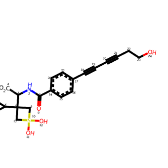 O=C(NC(C(=O)O)C1(C2CC2)CS(O)(O)C1)c1ccc(C#CC#CCCO)cc1